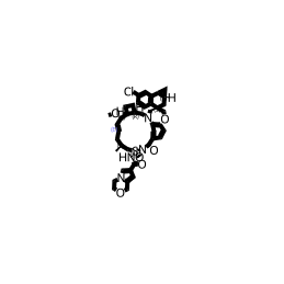 CO[C@H]1/C=C/C[C@H](C)C[S@@](=O)(NC(=O)c2cc3n(c2)CCOC3)=NC(=O)c2ccc3c(c2)N(C[C@@H]2CC[C@H]21)C[C@]1(CO3)C[C@@H]2CC2c2cc(Cl)ccc21